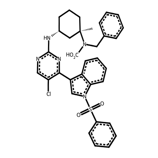 C[C@@]1(N(Cc2ccccc2)C(=O)O)CCC[C@@H](Nc2ncc(Cl)c(-c3cn(S(=O)(=O)c4ccccc4)c4ccccc34)n2)C1